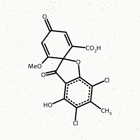 COC1=CC(=O)C=C(C(=O)O)C12Oc1c(Cl)c(C)c(Cl)c(O)c1C2=O